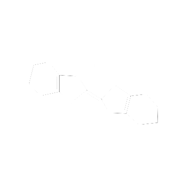 C1CSC2=C(S1)SC(=C1SC3=C(SCCS3)S1)S2.Cl